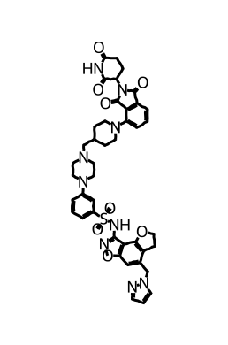 O=C1CCC(N2C(=O)c3cccc(N4CCC(CN5CCN(c6cccc(S(=O)(=O)Nc7noc8cc(Cn9cccn9)c9c(c78)OCC9)c6)CC5)CC4)c3C2=O)C(=O)N1